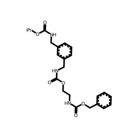 CC(C)OC(=O)NCc1cccc(CNC(=O)OCCNC(=O)OCc2ccccc2)c1